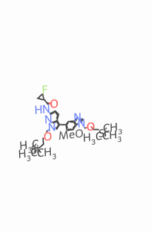 COc1cc2c(cc1-c1cn(COCC[Si](C)(C)C)c3nc(NC(=O)C4CC4F)ccc13)ncn2COCC[Si](C)(C)C